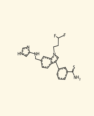 NC(=S)c1cccc(-c2cn(CCC(F)F)c3cc(CNc4c[nH]cn4)ccc23)c1